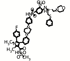 Cc1c(C(=O)NS(C)(=O)=O)c(-c2cccc(N3CCN(c4ccc(NS(=O)(=O)c5ccc(N[C@H](CCN6CCOCC6)CSc6ccccc6)c([N+](=O)[O-])c5)cc4)CC3)c2)c(-c2ccc(F)cc2)n1C